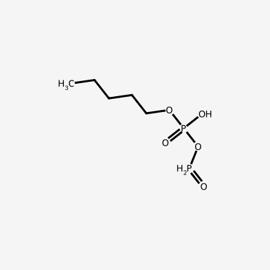 CCCCCOP(=O)(O)O[PH2]=O